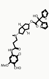 COc1cc(NC(=O)CCN(C)[C@@H]2C[C@H]3C[C@H](OC(=O)C(O)(c4cccs4)c4cccs4)C[C@H]3C2)c(Cl)cc1C=O